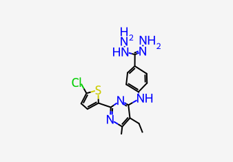 CCc1c(C)nc(-c2ccc(Cl)s2)nc1Nc1ccc(/C(=N/N)NN)cc1